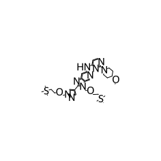 COC1CCN(c2nccc(Nc3cc4nc(-c5cnn(COCCS(C)(C)C)c5)n(COCCS(C)(C)C)c4cn3)n2)CC1